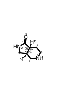 O=C1NC[C@@]2(F)CNCC[C@@H]12